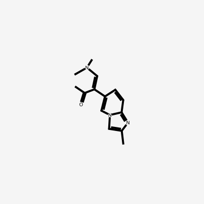 CC(=O)C(=CN(C)C)c1ccc2nc(C)cn2c1